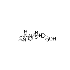 Cc1ccc(Nc2cccc(-c3cnc(N4CCC(CC(=O)O)CC4)s3)n2)nc1